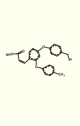 COC(=O)/C=C\c1ccc(Oc2ccc(CC(C)C)cc2)cc1Oc1ccc(C)cc1